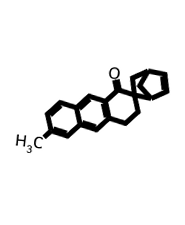 Cc1ccc2cc3c(cc2c1)CCC1(CC2C=CC1C2)C3=O